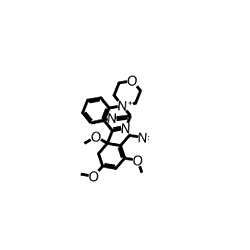 COC1=CC(OC)=C(C[N])C(OC)(c2nc3nc4cccc(c24)[N+]32CCOCC2)C1